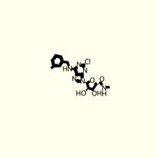 CNC(=O)[C@H]1O[C@@H](n2cnc3c(NCc4cccc(C)c4)nc(Cl)nc32)[C@H](O)[C@@H]1O